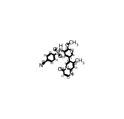 COc1ncc(-c2cn3c(=O)ccnc3cc2C)cc1NS(=O)(=O)c1ccc(C#N)cc1